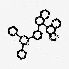 c1ccc(-c2cc(-c3ccccc3)nc(-c3cccc(-c4ccc5ccccc5c4-c4cc5ncsc5c5ccccc45)c3)c2)cc1